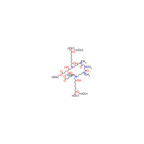 CCCCCCCCCCCOC(=O)CCCC(O)CN(CCCCN(C)C(=O)CN(C)CC(=O)N(C)CCCCN(CC(O)CCCCCC(=O)OC(CCCCCCCC)CCCCCCCC)CC(O)CCCC(=O)OCCCCCCCCCCC)CC(O)CCCCCC(=O)OC(CCCCCCCC)CCCCCCCC